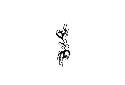 O=C(Oc1ccnc2[nH]nnc12)C(=O)Oc1ccnc2[nH]nnc12